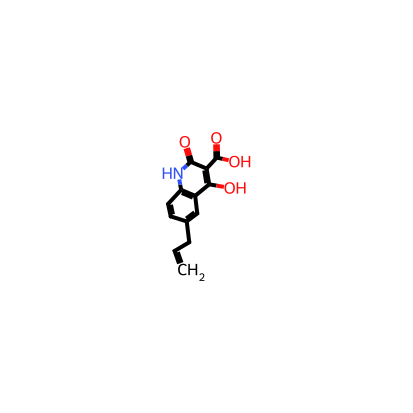 C=CCc1ccc2[nH]c(=O)c(C(=O)O)c(O)c2c1